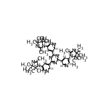 CC1=NC(C)(C)C(C)(C)N1c1cncc(-c2nc(-c3cncc(N4C(C)=NC(C)(C)C4(C)C)c3)nc(-c3cncc(N4C(C)=NC(C)(C)C4(C)C)c3)n2)c1